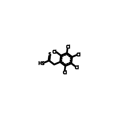 S=C(S)Cc1c(Cl)c(Cl)c(Cl)c(Cl)c1Cl